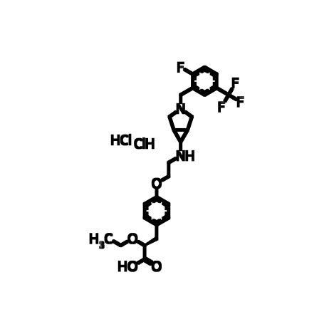 CCO[C@@H](Cc1ccc(OCCNC2C3CN(Cc4cc(C(F)(F)F)ccc4F)CC32)cc1)C(=O)O.Cl.Cl